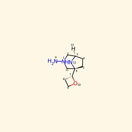 NN1C[C@H]2CC[C@@]([C@H]3CCO3)(C1)N2